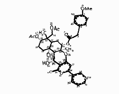 COc1ccc(CC(=O)O[C@H]2CC3C(C)(COC(C)=O)[C@@H](OC(C)=O)CC[C@]3(C)C3[C@@H](O)c4c(cc(-c5cccnc5)oc4=O)O[C@@]32C)cc1